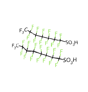 O=S(=O)(O)C(F)(F)C(F)(F)C(F)(F)C(F)(F)C(F)(F)C(F)(F)C(F)(F)C(F)(F)F.O=S(=O)(O)C(F)(F)C(F)(F)C(F)(F)C(F)(F)C(F)(F)C(F)(F)C(F)(F)F